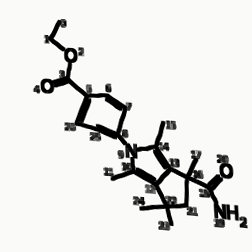 CCOC(=O)c1ccc(-n2c(C)c3c(c2C)C(C)(C(N)=O)CC3(C)C)cc1